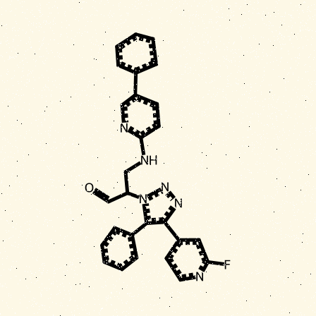 O=CC(CNc1ccc(-c2ccccc2)cn1)n1nnc(-c2ccnc(F)c2)c1-c1ccccc1